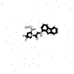 O=CN[C@@H]1CC(F)(F)CN1C(=O)CNc1cccc2c1Cc1ccccc1-2